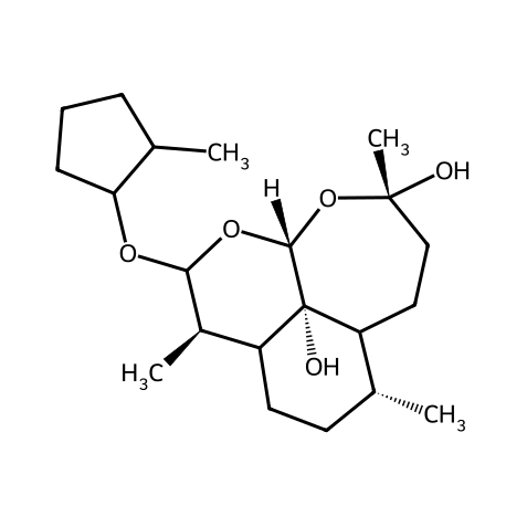 CC1CCCC1OC1O[C@@H]2O[C@](C)(O)CCC3[C@H](C)CCC([C@H]1C)[C@]32O